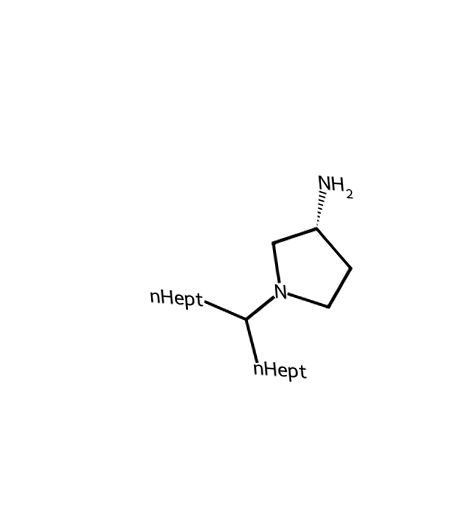 CCCCCCCC(CCCCCCC)N1CC[C@@H](N)C1